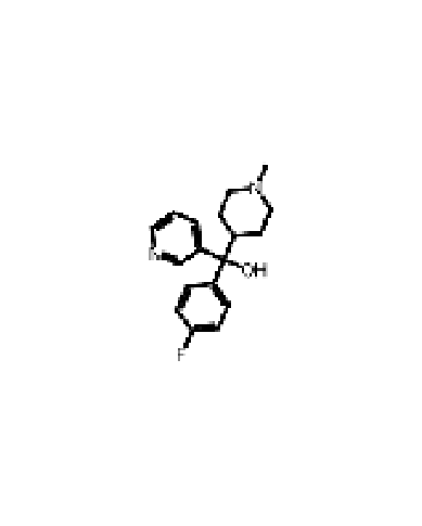 CN1CCC(C(O)(c2ccc(F)cc2)c2cccnc2)CC1